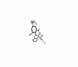 CCCCOC(=O)N1C(=O)N(c2c(F)cc(N)cc2F)Cc2ccccc21